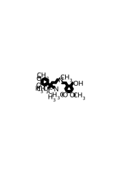 COc1ccc(C(C#N)(CCCN(C)CCc2cc(OC)c(OC)cc2CO)C(C)C)cc1OC